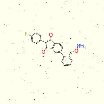 NOCc1ccccc1-c1ccc2c(c1)C(=O)C(c1ccc(F)cc1)C2=O